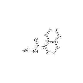 CC[CH]NC(=O)c1cccc2ccccc12